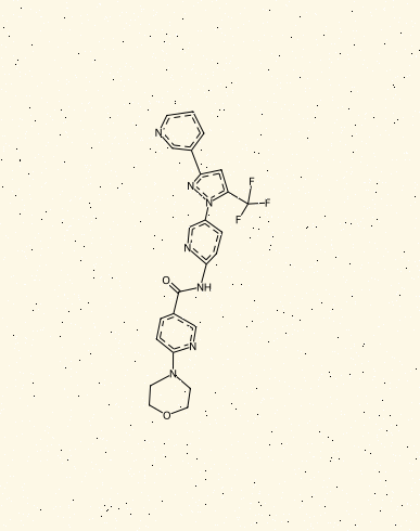 O=C(Nc1ccc(-n2nc(-c3cccnc3)cc2C(F)(F)F)cn1)c1ccc(N2CCOCC2)nc1